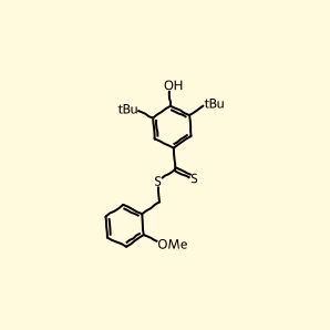 COc1ccccc1CSC(=S)c1cc(C(C)(C)C)c(O)c(C(C)(C)C)c1